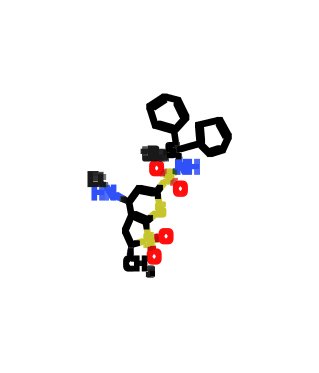 CCN[C@H]1C=C(S(=O)(=O)N[Si](c2ccccc2)(c2ccccc2)C(C)(C)C)SC2=C1C[C@H](C)S2(=O)=O